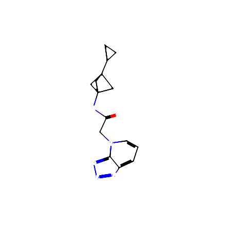 O=C(Cn1cccc2nnnc1-2)NC12CC(C3CC3)(C1)C2